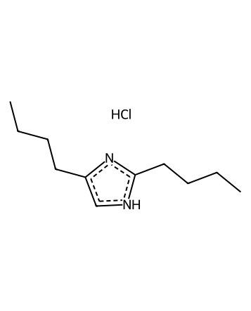 CCCCc1c[nH]c(CCCC)n1.Cl